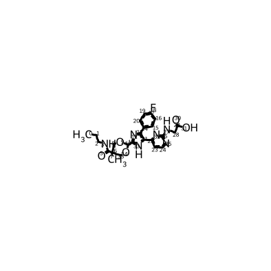 CCCNC(=O)C1(C)COC(c2nc(-c3ccc(F)cc3)c(-c3ccnc(NCC(=O)O)n3)[nH]2)OC1